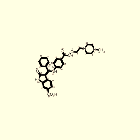 CN1CCN(CCONC(=O)c2ccc(NC(=C3C(=O)Nc4cc(C(=O)O)ccc43)c3ccccc3)cc2)CC1